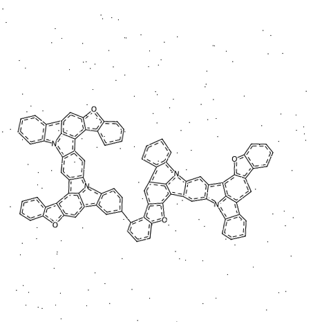 c1ccc2c(c1)oc1c2cc2c3ccccc3n3c4cc5c6c7oc8cccc(-c9ccc%10c(c9)c9cc%11oc%12ccccc%12c%11c%11c%12cc%13c(cc%12n%10c9%11)c9c%10c(cc%11c%12ccccc%12n%13c%119)oc9ccccc9%10)c8c7cc7c8ccccc8n(c5cc4c1c23)c76